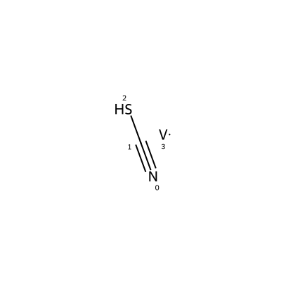 N#CS.[V]